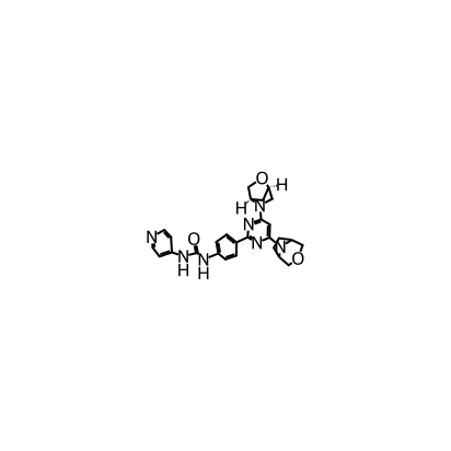 O=C(Nc1ccncc1)Nc1ccc(-c2nc(N3C4CCC3COC4)cc(N3C[C@H]4C[C@@H]3CO4)n2)cc1